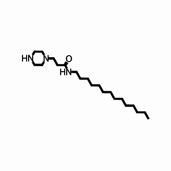 CCCCCCCCCCCCCCNC(=O)CCN1CCNCC1